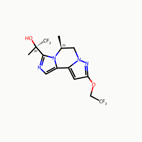 C[C@H]1Cn2nc(OCC(F)(F)F)cc2-c2cnc([C@@](C)(O)C(F)(F)F)n21